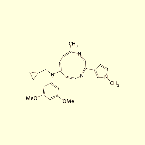 COc1cc(OC)cc(N(CC2CC2)c2ccnc(-c3ccn(C)c3)cnc(C)cc2)c1